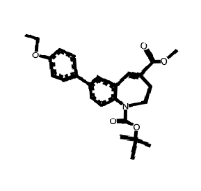 CCOc1ccc(-c2ccc3c(c2)C=C(C(=O)OC)CCN3C(=O)OC(C)(C)C)cc1